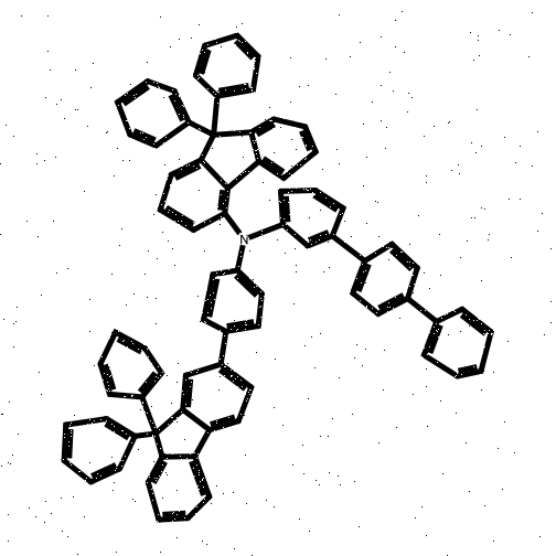 c1ccc(-c2ccc(-c3cccc(N(c4ccc(-c5ccc6c(c5)C(c5ccccc5)(c5ccccc5)c5ccccc5-6)cc4)c4cccc5c4-c4ccccc4C5(c4ccccc4)c4ccccc4)c3)cc2)cc1